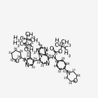 CC(C)(C)OC(=O)N(c1ccc(N2CCOCC2)cc1)c1ncc(-c2cnn(C3CCCCO3)c2CO[Si](C)(C)C(C)(C)C)n2ncnc12